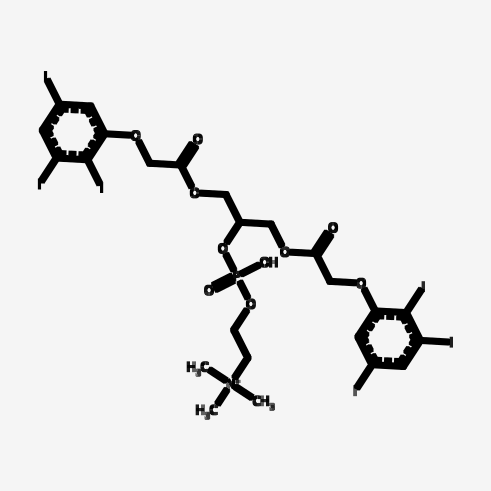 C[N+](C)(C)CCOP(=O)(O)OC(COC(=O)COc1cc(I)cc(I)c1I)COC(=O)COc1cc(I)cc(I)c1I